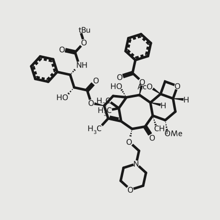 CO[C@H]1C[C@H]2OC[C@@]2(OC(C)=O)[C@H]2[C@H](OC(=O)c3ccccc3)[C@]3(O)C[C@H](OC(=O)[C@H](O)[C@@H](NC(=O)OC(C)(C)C)c4ccccc4)C(C)=C([C@@H](OCN4CCOCC4)C(=O)[C@]12C)C3(C)C